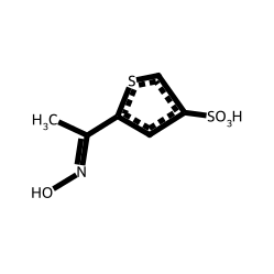 CC(=NO)c1cc(S(=O)(=O)O)cs1